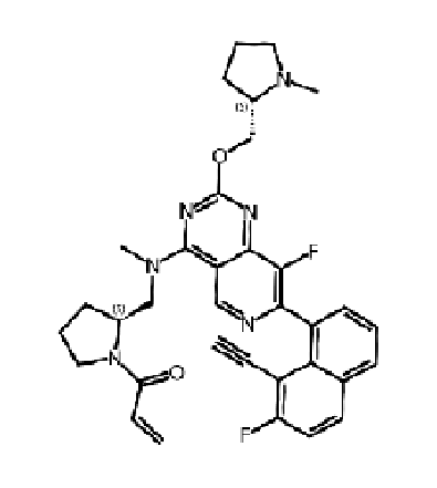 C#Cc1c(F)ccc2cccc(-c3ncc4c(N(C)C[C@@H]5CCCN5C(=O)C=C)nc(OC[C@@H]5CCCN5C)nc4c3F)c12